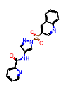 O=C(Nc1cnn(S(=O)(=O)c2cnc3ccccc3c2)c1)c1ccccn1